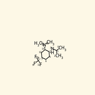 CC(C)N[C@@H]1CC[C@H](C(F)(F)F)C[C@H]1N(C)C